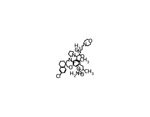 Cc1ccc2c(c1)N([C@@H]1CCCN1C(C(=O)N(C)CCN1CCOCC1)/C(F)=C/CCC(C)S(N)(=O)=O)CC1(CCCc3cc(Cl)ccc31)CO2